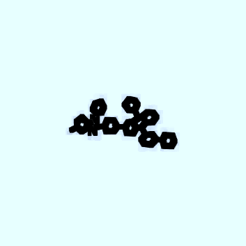 Cc1ccc2c(c1)nc(-c1ccc(-c3ccc4c(-c5cccc(-c6ccccc6)c5)c5ccccc5c(-c5ccccc5)c4c3)cc1)n2-c1ccccc1